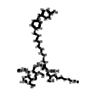 CCCCCCCCCCCCCC[C@@H](O)[C@@H](O)[C@H](CO[C@H]1OC(CF)[C@@H](OCCCC)[C@H](OCCCC)C1OCCCC)NC(=O)CCCCCCCCCCc1ccc(Oc2ccc(F)cc2)cc1